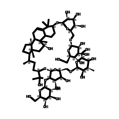 C[C@@H]1[C@@H](O)[C@@H](OC[C@H]2O[C@@H](O[C@H](CC[C@@H](C)C3CC[C@@]4(C)C5CC=C6C(CC[C@H](O[C@@H]7O[C@H](CO[C@H]8O[C@H](CO)[C@@H](O)[C@H](O)[C@H]8O)[C@@H](O)[C@H](O)[C@H]7O)C6(C)C)[C@]5(C)[C@H](O)C[C@]34C)C(C)(C)O)[C@H](O[C@@H]3O[C@H](CO)[C@@H](O)[C@H](O)[C@H]3O)[C@@H](O)[C@@H]2O)O[C@H](CO)[C@H]1O